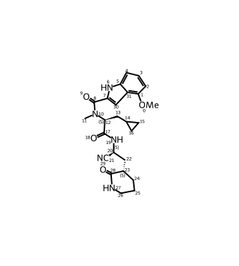 COc1cccc2[nH]c(C(=O)N(C)[C@@H](CC3CC3)C(=O)N[C@H](C#N)C[C@@H]3CCCNC3=O)cc12